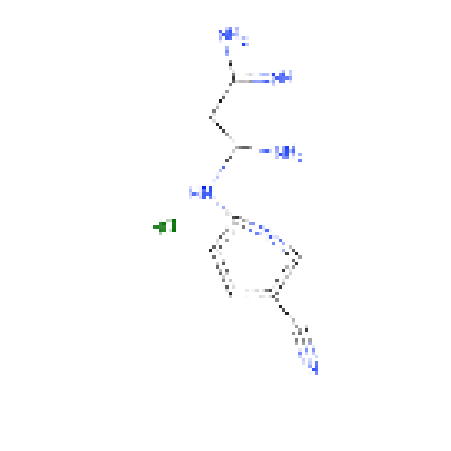 Cl.N#Cc1ccc(NC(N)CC(=N)N)nc1